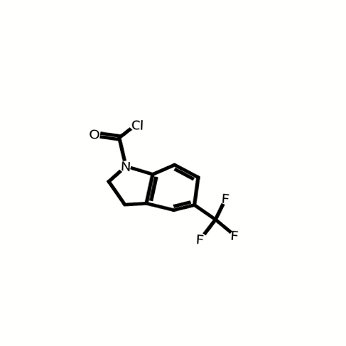 O=C(Cl)N1CCc2cc(C(F)(F)F)ccc21